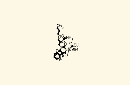 CCCCOCC(CN1C(=O)NC(=O)C(CC)(c2ccccc2)C1=O)OC(N)=O.O=P(O)(O)O